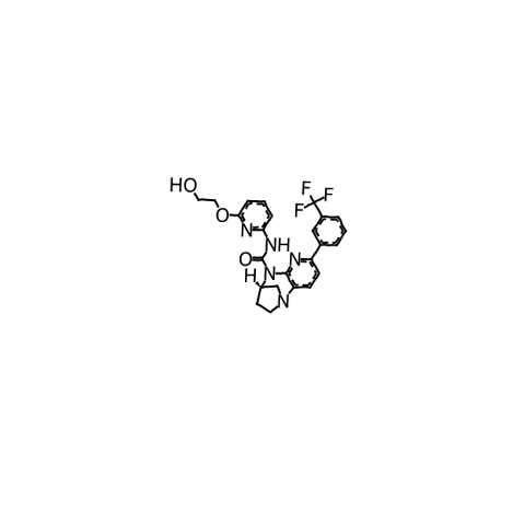 O=C(Nc1cccc(OCCO)n1)N1c2nc(-c3cccc(C(F)(F)F)c3)ccc2N2CC[C@H]1C2